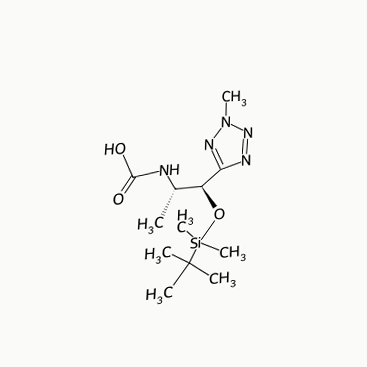 C[C@H](NC(=O)O)[C@H](O[Si](C)(C)C(C)(C)C)c1nnn(C)n1